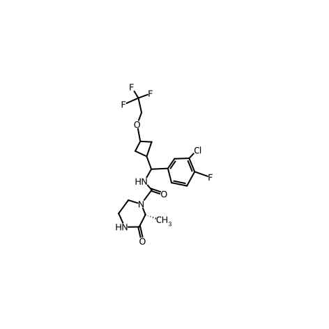 C[C@@H]1C(=O)NCCN1C(=O)NC(c1ccc(F)c(Cl)c1)C1CC(OCC(F)(F)F)C1